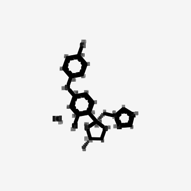 C[C@H]1CO[C@](Cn2cncn2)(c2ccc(Oc3ccc(Cl)cc3)cc2Cl)O1.Cl